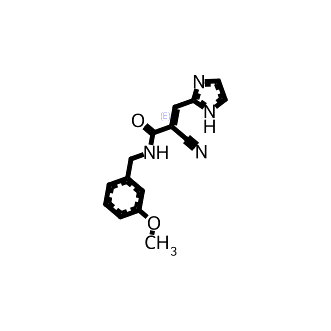 COc1cccc(CNC(=O)/C(C#N)=C/c2ncc[nH]2)c1